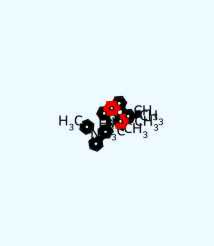 Cc1ccc(-n2c3ccccc3c3ccc(N(c4ccccc4-c4cccc5cccc(-c6cc(C(C)(C)C)cc(C(C)(C)C)c6)c45)c4cccc5ccccc45)cc32)cc1